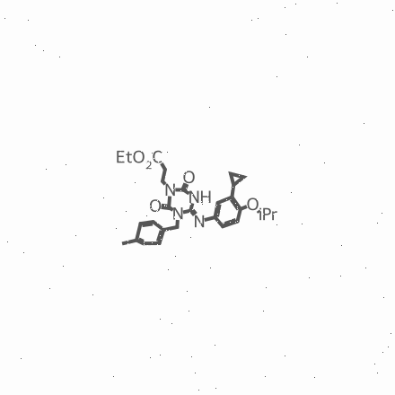 CCOC(=O)CCn1c(=O)[nH]/c(=N\c2ccc(OC(C)C)c(C3CC3)c2)n(Cc2ccc(C)cc2)c1=O